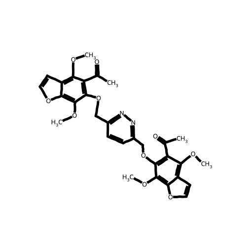 COc1c(C(C)=O)c(OCc2ccc(COc3c(C(C)=O)c(OC)c4ccoc4c3OC)nn2)c(OC)c2occc12